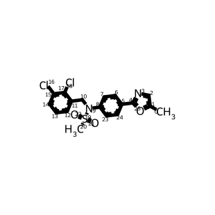 Cc1cnc(-c2ccc(N(Cc3cccc(Cl)c3Cl)S(C)(=O)=O)cc2)o1